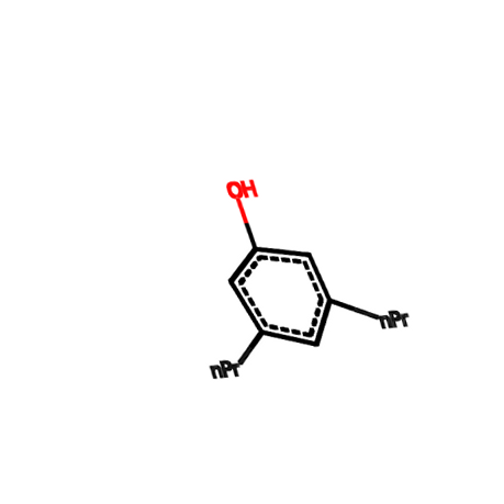 CCCc1cc(O)cc(CCC)c1